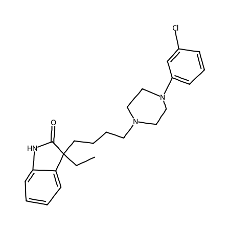 CCC1(CCCCN2CCN(c3cccc(Cl)c3)CC2)C(=O)Nc2ccccc21